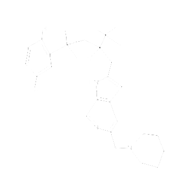 CC(C)(CC(O)(Cc1cc2cc(CN3CCCCC3)ncc2[nH]1)C(F)(F)F)c1cc(Br)ccc1O